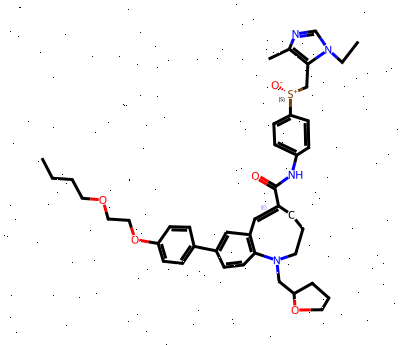 CCCCOCCOc1ccc(-c2ccc3c(c2)/C=C(/C(=O)Nc2ccc([S@+]([O-])Cc4c(C)ncn4CC)cc2)CCCN3CC2CCCO2)cc1